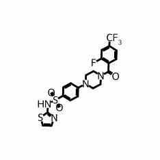 O=C(c1ccc(C(F)(F)F)cc1F)N1CCN(c2ccc(S(=O)(=O)Nc3nccs3)cc2)CC1